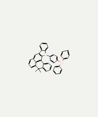 CC1(C)c2ccccc2-c2c3c1cccc3cc1c3ccccc3n(-c3ccc(P(=O)(c4ccccc4)c4ccccc4)cc3)c21